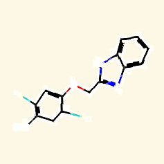 O=CC1=C(F)C=C(OCc2nc3ccccc3[nH]2)C(F)C1